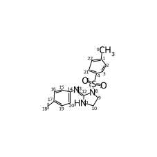 Cc1ccc(S(=O)(=O)N2CCN/C2=N\c2ccc(I)cc2)cc1